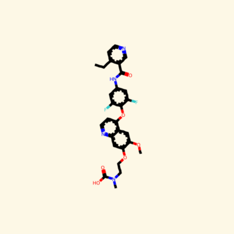 CCc1ccncc1C(=O)Nc1cc(F)c(Oc2ccnc3cc(OCCN(C)C(=O)O)c(OC)cc23)c(F)c1